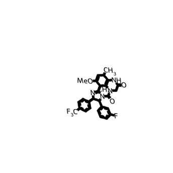 COC1=CC(C)C2=C3N(CC(=O)N2)C(=O)N2C(=NC(c4ccc(C(F)(F)F)cc4)C2c2cccc(F)c2)C13C